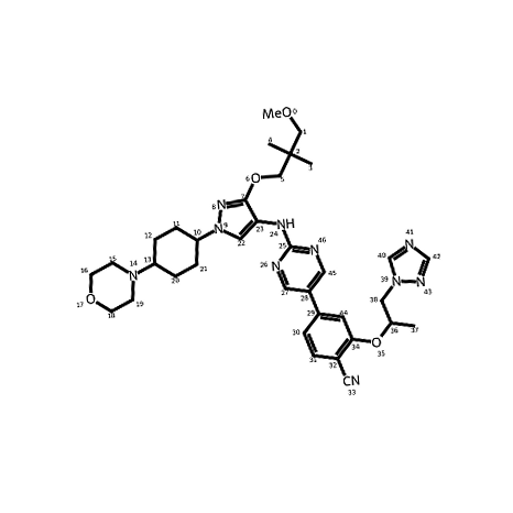 COCC(C)(C)COc1nn(C2CCC(N3CCOCC3)CC2)cc1Nc1ncc(-c2ccc(C#N)c(OC(C)Cn3cncn3)c2)cn1